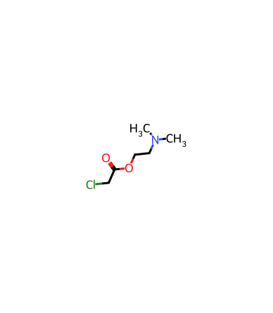 CN(C)CCOC(=O)CCl